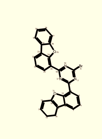 Brc1nc(-c2cccc3c4c(oc23)C=CCC4)nc(-c2cccc3c2oc2ccccc23)n1